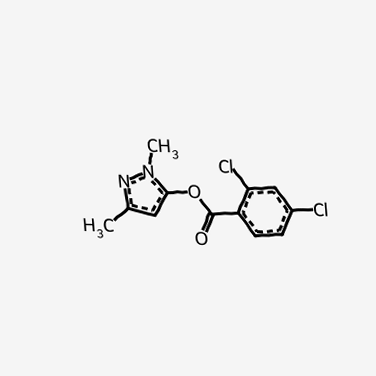 Cc1cc(OC(=O)c2ccc(Cl)cc2Cl)n(C)n1